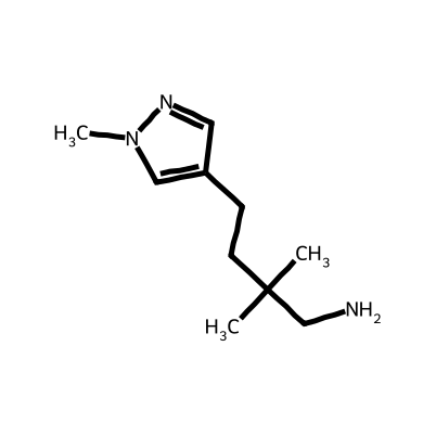 Cn1cc(CCC(C)(C)CN)cn1